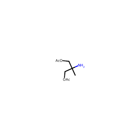 CC(=O)OCC(C)(N)COC(C)=O